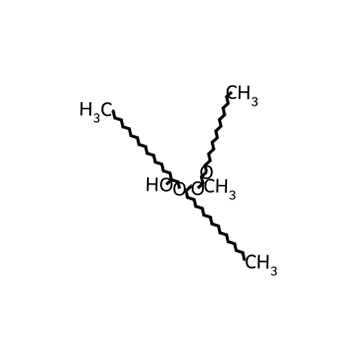 CCCCCCCCCCCCCCCCC(O)COC(CCCCCCCCCCCCCCCC)COC(C)COCCCCCCCCCCCCCC